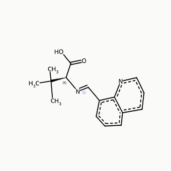 CC(C)(C)[C@H](/N=C/c1cccc2cccnc12)C(=O)O